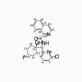 O=C(NC(c1cccc(Cl)n1)[C@]1(O)CC[C@H](F)CC1)c1nccc2ccccc12